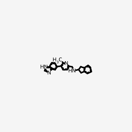 Cc1nc(CNC2Cc3ccccc3C2)ccc1-c1ccc2[nH]cnc2c1